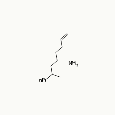 C=CCCCCC(C)CCC.N